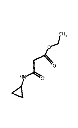 CCOC(=O)CC(=O)NC1CC1